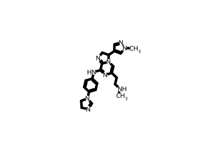 CNCCC1=CN2C(=NCC2c2cnn(C)c2)C(Nc2ccc(N3C=NCC3)cc2)=N1